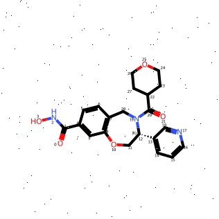 O=C(NO)c1ccc2c(c1)OC[C@@H](c1cccnc1)N(C(=O)C1CCOCC1)C2